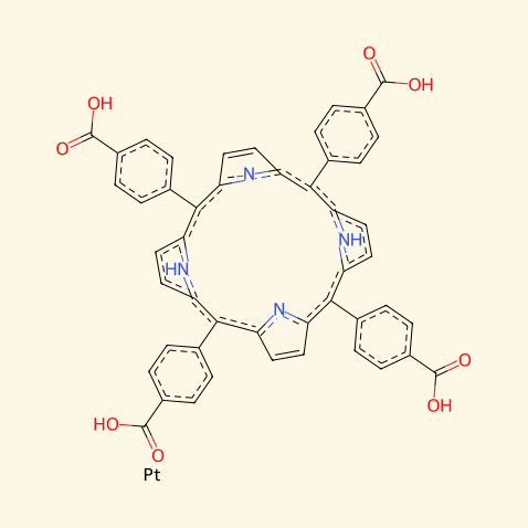 O=C(O)c1ccc(-c2c3nc(c(-c4ccc(C(=O)O)cc4)c4ccc([nH]4)c(-c4ccc(C(=O)O)cc4)c4nc(c(-c5ccc(C(=O)O)cc5)c5ccc2[nH]5)C=C4)C=C3)cc1.[Pt]